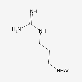 CC(=O)NCCCNC(=N)N